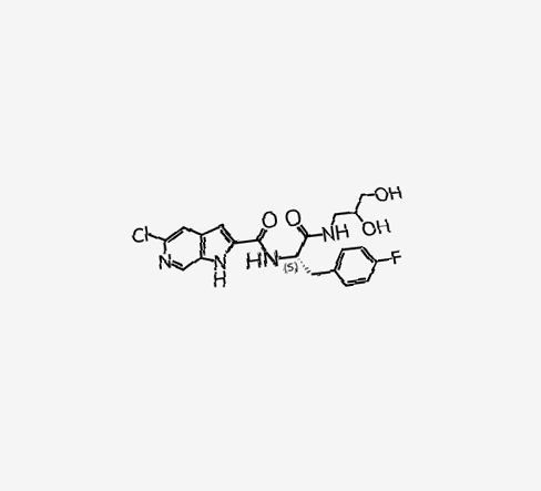 O=C(N[C@@H](Cc1ccc(F)cc1)C(=O)NCC(O)CO)c1cc2cc(Cl)ncc2[nH]1